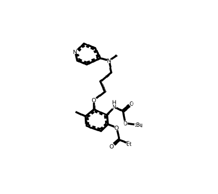 CCC(=O)Oc1ccc(C)c(OCCCN(C)c2ccncc2)c1NC(=O)OC(C)(C)C